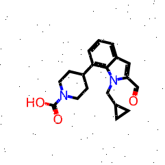 O=Cc1cc2cccc(C3CCN(C(=O)O)CC3)c2n1CC1CC1